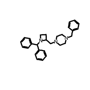 c1ccc(CN2CCN(CC3CCN3C(c3ccccc3)c3ccccc3)CC2)cc1